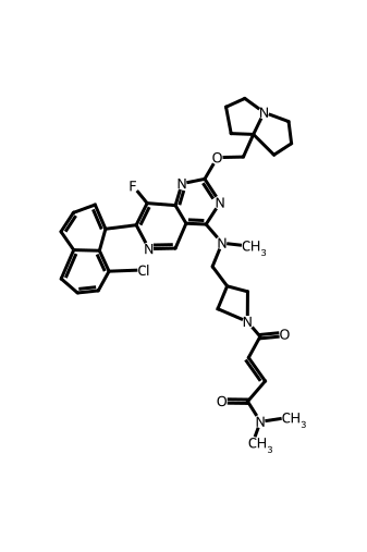 CN(C)C(=O)/C=C/C(=O)N1CC(CN(C)c2nc(OCC34CCCN3CCC4)nc3c(F)c(-c4cccc5cccc(Cl)c45)ncc23)C1